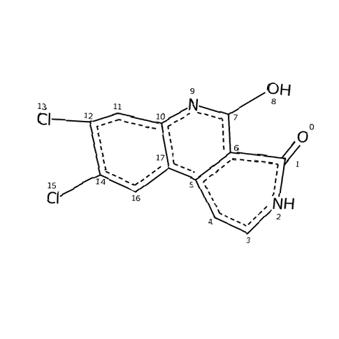 O=c1[nH]ccc2c1c(O)nc1cc(Cl)c(Cl)cc12